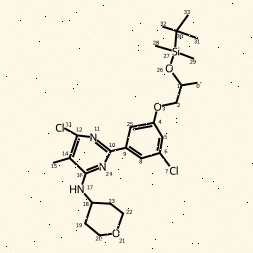 [CH2]C(COc1cc(Cl)cc(-c2nc(Cl)c(C)c(NC3CCOCC3)n2)c1)O[Si](C)(C)C(C)(C)C